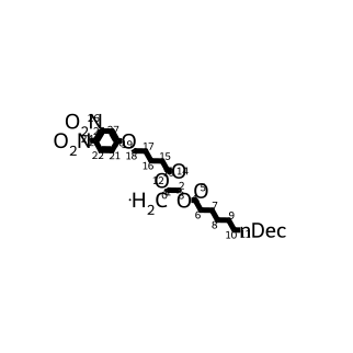 [CH2]C(COC(=O)CCCCCCCCCCCCCCC)OC(=O)CCCCOc1ccc([N+](=O)[O-])c([N+](=O)[O-])c1